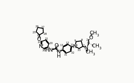 COC[C@H](C)N(C)C1CCN(c2ccc(NC(=O)Nc3ccc(OC4CCCC4)nc3)cc2)C1